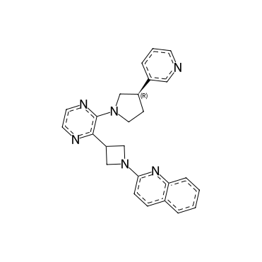 c1cncc([C@H]2CCN(c3nccnc3C3CN(c4ccc5ccccc5n4)C3)C2)c1